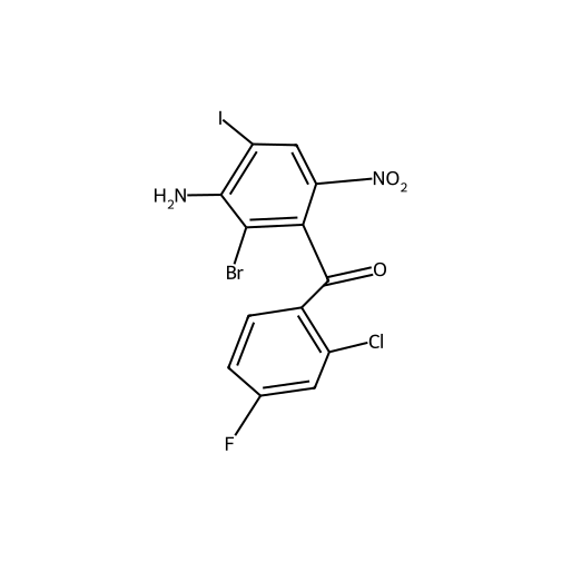 Nc1c(I)cc([N+](=O)[O-])c(C(=O)c2ccc(F)cc2Cl)c1Br